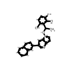 CC(On1ccc2ncc(-c3ccc4ccccc4c3)cc21)c1c(Cl)ccc(F)c1Cl